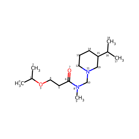 CC(C)OCCC(=O)N(C)CN1CCCC(C(C)C)C1